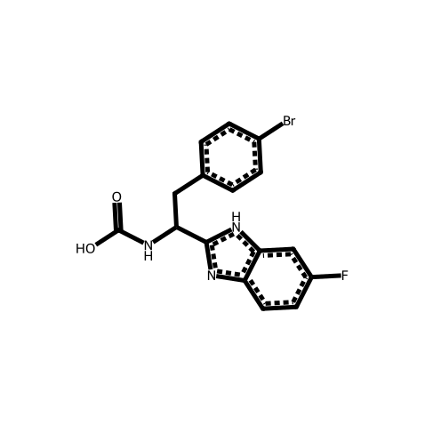 O=C(O)NC(Cc1ccc(Br)cc1)c1nc2ccc(F)cc2[nH]1